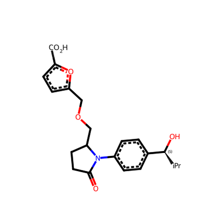 CC(C)[C@H](O)c1ccc(N2C(=O)CCC2COCc2ccc(C(=O)O)o2)cc1